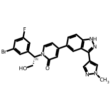 Cn1cc(-c2n[nH]c3ccc(-c4ccn([C@H](CO)c5cc(F)cc(Br)c5)c(=O)c4)cc23)cn1